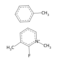 Cc1ccc[n+](C)c1F.Cc1ccccc1